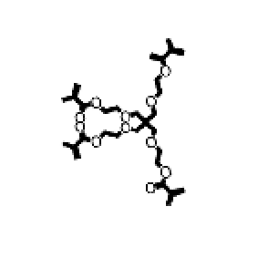 C=C(C)C(=C)OCCOCC(COCCOC(=O)C(=C)C)(COCCOC(=O)C(=C)C)COCCOC(=O)C(=C)C